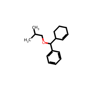 CC(C)COC(c1ccccc1)C1C=CCCC1